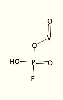 [O]=[V][O]P(=O)(O)F